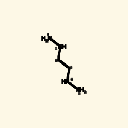 NN[CH]CNN